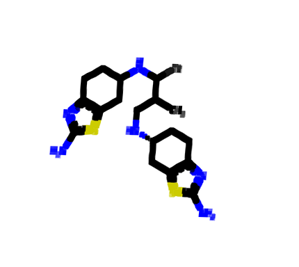 CCC(NC1CCc2nc(N)sc2C1)C(C)CN[C@@H]1CCc2nc(N)sc2C1